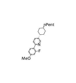 CCCCC[C@H]1CC[C@H](c2ccc(-c3ccc(OC)cc3F)nc2)CC1